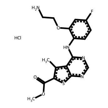 COC(=O)c1sc2ncnc(Nc3ccc(F)cc3OCCN)c2c1C.Cl